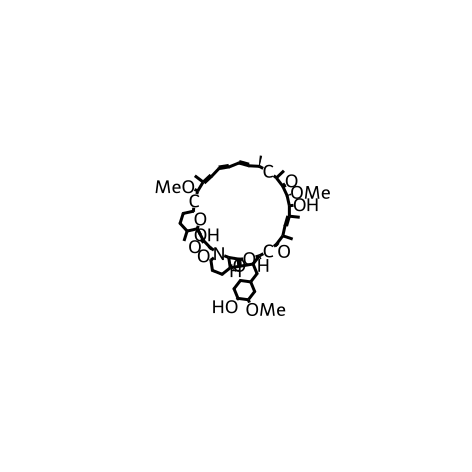 COC1CC2CCC(C)C(O)(O2)C(=O)C(=O)N2CCC[C@@H]3C(CC4CCC(O)C(OC)C4)[C@H](CC(=O)C(C)/C=C(\C)C(O)[C@@H](OC)C(=O)C(C)C[C@H](C)/C=C/C=C/C=C/1C)OC(=O)C32